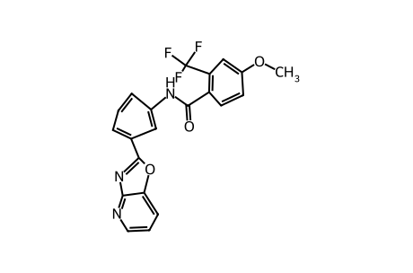 COc1ccc(C(=O)Nc2cccc(-c3nc4ncccc4o3)c2)c(C(F)(F)F)c1